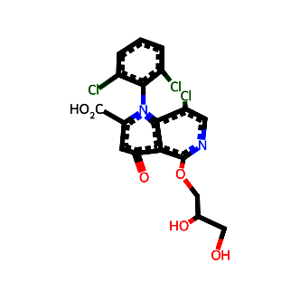 O=C(O)c1cc(=O)c2c(OCC(O)CO)ncc(Cl)c2n1-c1c(Cl)cccc1Cl